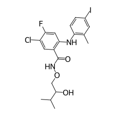 Cc1cc(I)ccc1Nc1cc(F)c(Cl)cc1C(=O)NOCC(O)C(C)C